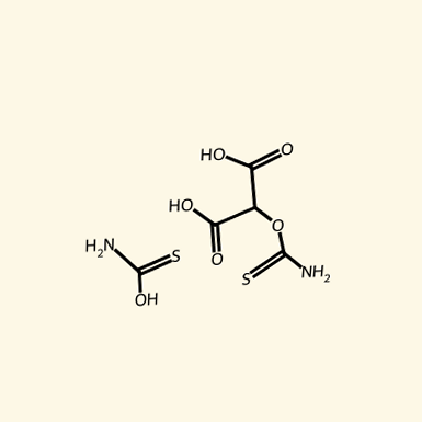 NC(=S)OC(C(=O)O)C(=O)O.NC(O)=S